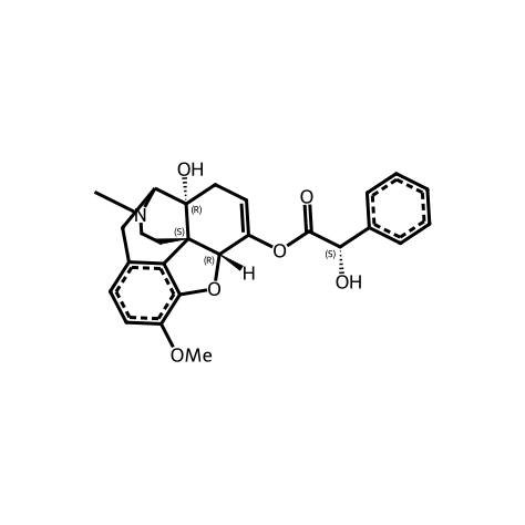 COc1ccc2c3c1O[C@H]1C(OC(=O)[C@@H](O)c4ccccc4)=CC[C@]4(O)C(C2)N(C)CC[C@]314